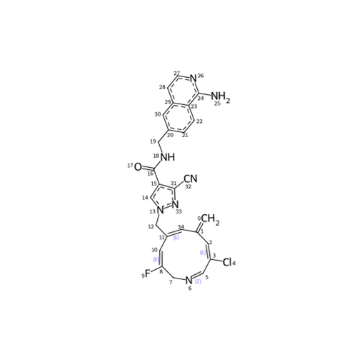 C=C1/C=C(Cl)\C=N/C/C(F)=C\C(Cn2cc(C(=O)NCc3ccc4c(N)nccc4c3)c(C#N)n2)=C/1